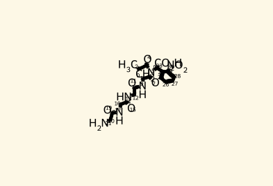 C=C(C)C(=O)N(C(=O)CNC(=O)CNC(=O)CNC(=O)CN)[C@H](C(=O)O)c1ccccc1[N+](=O)[O-]